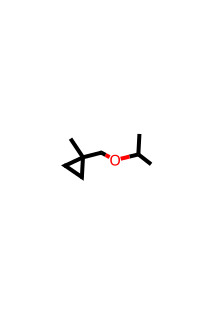 CC(C)OCC1(C)CC1